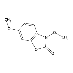 COc1ccc2c(c1)oc(=O)n2OC